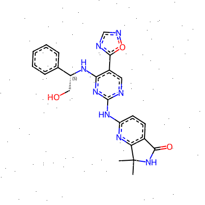 CC1(C)NC(=O)c2ccc(Nc3ncc(-c4ncno4)c(N[C@H](CO)c4ccccc4)n3)nc21